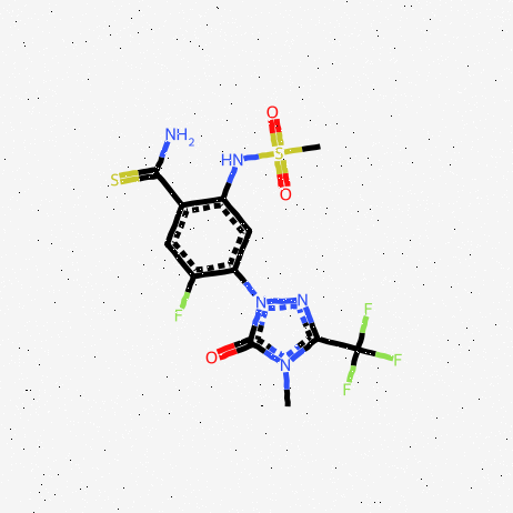 Cn1c(C(F)(F)F)nn(-c2cc(NS(C)(=O)=O)c(C(N)=S)cc2F)c1=O